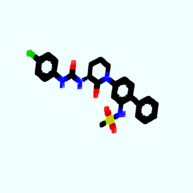 CS(=O)(=O)Nc1cc(N2CCC[C@@H](NC(=O)Nc3ccc(Cl)cc3)C2=O)ccc1-c1ccccc1